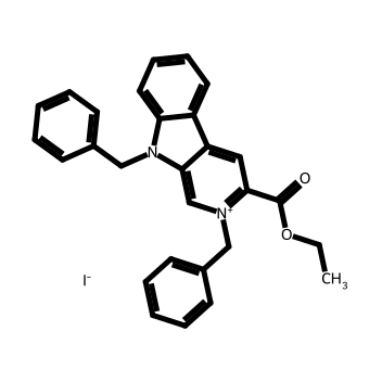 CCOC(=O)c1cc2c3ccccc3n(Cc3ccccc3)c2c[n+]1Cc1ccccc1.[I-]